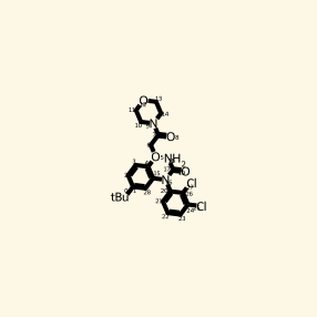 CC(C)(C)c1ccc(OCC(=O)N2CCOCC2)c(N(C(N)=O)c2cccc(Cl)c2Cl)c1